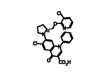 O=C(O)c1cn(-c2ccccc2)c2cc(N3CCC[C@@H]3COc3ncccc3Cl)c(Cl)cc2c1=O